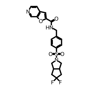 O=C(NCc1ccc(S(=O)(=O)N2CC3CC(F)(F)CC3C2)cc1)c1cc2ccncc2o1